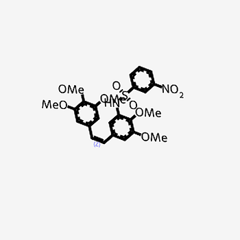 COc1cc(/C=C\c2cc(OC)c(OC)c(OC)c2)cc(NS(=O)(=O)c2cccc([N+](=O)[O-])c2)c1OC